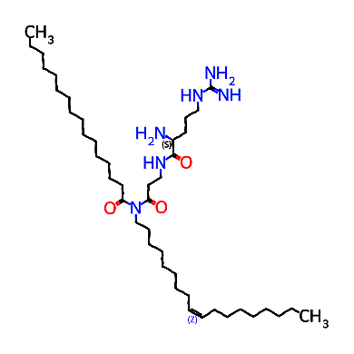 CCCCCCCC/C=C\CCCCCCCCN(C(=O)CCCCCCCCCCCCCCC)C(=O)CCNC(=O)[C@@H](N)CCCNC(=N)N